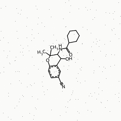 CC1(C)Oc2ccc(C#N)cc2C(O)C1NC(=O)C1CCCCC1